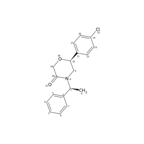 C[C@@H](c1ccccc1)N1C[C@H](c2ccc(Cl)cc2)OCC1=O